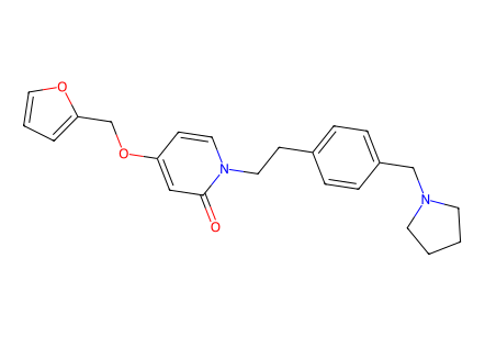 O=c1cc(OCc2ccco2)ccn1CCc1ccc(CN2CCCC2)cc1